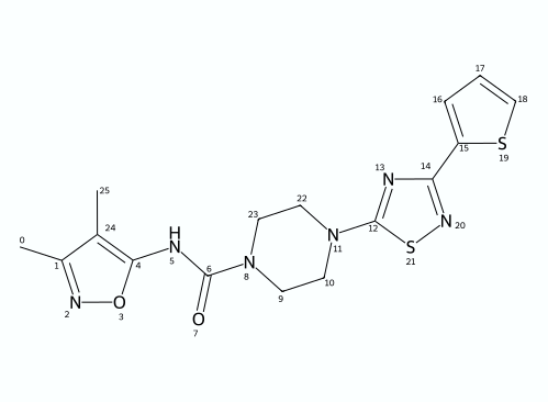 Cc1noc(NC(=O)N2CCN(c3nc(-c4cccs4)ns3)CC2)c1C